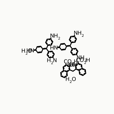 N=C1C=CC(=C(c2ccc(N)cc2)c2ccc(N)cc2)C=C1.N=C1C=CC(=C(c2ccc(N)cc2)c2ccc(N)cc2)C=C1.O.O.O=C(O)c1cc2ccccc2c(Cc2c(O)c(C(=O)O)cc3ccccc23)c1O